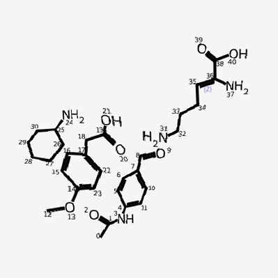 CC(=O)Nc1ccc(C=O)cc1.COc1ccc(CC(=O)O)cc1.NC1CCCCC1.NCCC/C=C(\N)C(=O)O